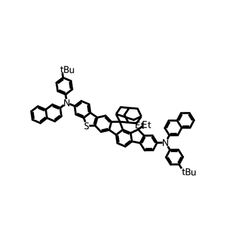 CCC1(CC)c2cc(N(c3ccc(C(C)(C)C)cc3)c3ccc4ccccc4c3)ccc2-c2ccc3c(c21)C1(c2cc4c(cc2-3)sc2cc(N(c3ccc(C(C)(C)C)cc3)c3ccc5ccccc5c3)ccc24)C2CC3CC(C2)CC1C3